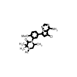 COc1ccc(-c2cc(Cl)c3c(N)ncnn23)cc1N1C(=O)C(C)(C)N(C(C)=O)CC1C